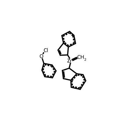 ClOc1ccccc1.[CH2]=[Zr]([CH]1C=Cc2ccccc21)[CH]1C=Cc2ccccc21